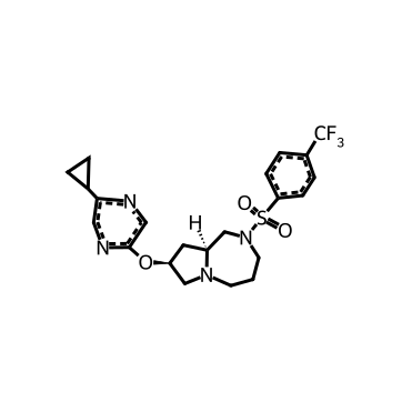 O=S(=O)(c1ccc(C(F)(F)F)cc1)N1CCCN2C[C@@H](Oc3cnc(C4CC4)cn3)C[C@H]2C1